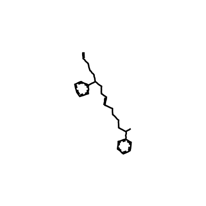 C=CCCCC(CCC=CCCCCC(C)c1ccccc1)c1ccccc1